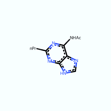 CCCc1nc(NC(C)=O)c2nc[nH]c2n1